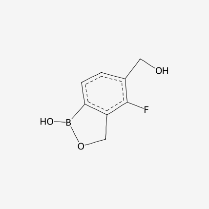 OCc1ccc2c(c1F)COB2O